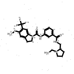 CCN1CCCC1CNC(=O)c1cccc(NC(=O)N2CCc3cc(SC)c(C(F)(F)F)cc32)c1